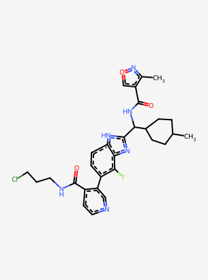 Cc1nocc1C(=O)NC(c1nc2c(F)c(-c3cnccc3C(=O)NCCCCl)ccc2[nH]1)C1CCC(C)CC1